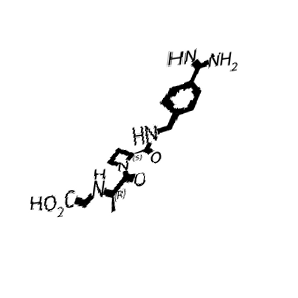 C[C@@H](NCC(=O)O)C(=O)N1CC[C@H]1C(=O)NCc1ccc(C(=N)N)cc1